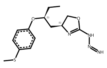 CC[C@@H](C[C@H]1COC(NN=N)=N1)Oc1ccc(SC)cc1